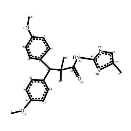 COc1ccc(C(c2ccc(OC)cc2)C(C)(C)C(=O)Nc2ncc(C)s2)cc1